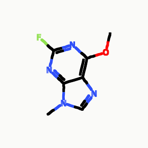 COc1nc(F)nc2c1ncn2C